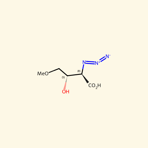 COC[C@@H](O)[C@@H](N=[N+]=[N-])C(=O)O